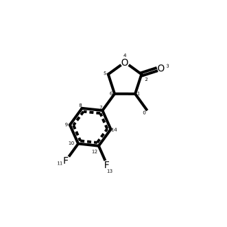 CC1C(=O)OCC1c1ccc(F)c(F)c1